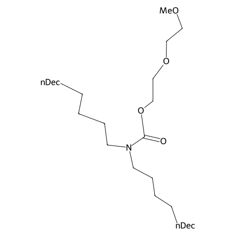 CCCCCCCCCCCCCCN(CCCCCCCCCCCCCC)C(=O)OCCOCCOC